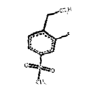 CS(=O)(=O)c1ccc(CC(=O)O)c(F)c1